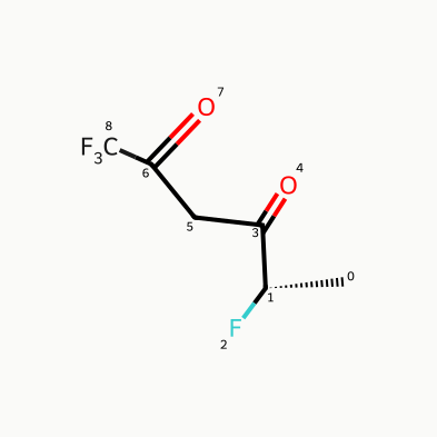 C[C@H](F)C(=O)CC(=O)C(F)(F)F